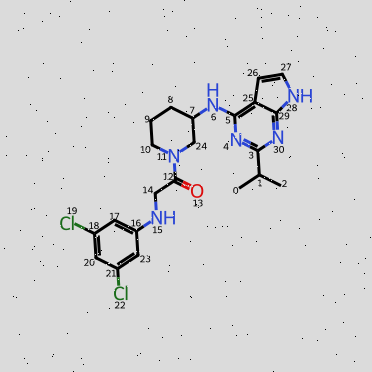 CC(C)c1nc(NC2CCCN(C(=O)CNc3cc(Cl)cc(Cl)c3)C2)c2cc[nH]c2n1